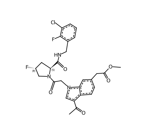 COC(=O)Cc1ccc2c(C(C)=O)cn(CC(=O)N3C[C@H](F)C[C@H]3C(=O)NCc3cccc(Cl)c3F)c2c1